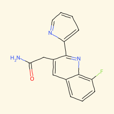 NC(=O)Cc1cc2cccc(F)c2nc1-c1ccccn1